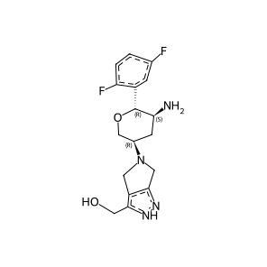 N[C@H]1C[C@@H](N2Cc3n[nH]c(CO)c3C2)CO[C@@H]1c1cc(F)ccc1F